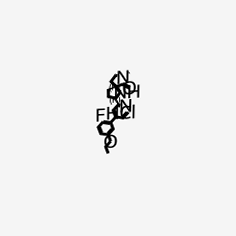 CCOc1ccc(F)c(-c2ccnc([C@H]3CC[C@]4(CCN(C)C4=O)N3)c2)c1.Cl